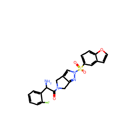 NC(C(=O)N1Cc2cn(S(=O)(=O)c3ccc4occc4c3)nc2C1)c1ccccc1F